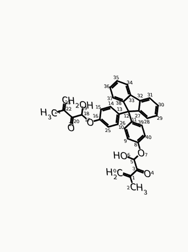 C=C(C)C(=O)C(O)Oc1ccc(C2(c3ccc(OC(O)C(=O)C(=C)C)cc3)c3ccccc3-c3ccccc32)cc1